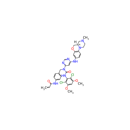 C=CC(=O)Nc1ccc(CN(C(=O)Nc2c(Cl)c(OC)cc(OC)c2Cl)c2cc(Nc3ccc4c(c3)OC[C@H]3CN(C)CCN43)ncn2)cc1